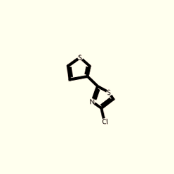 Clc1csc(-c2ccsc2)n1